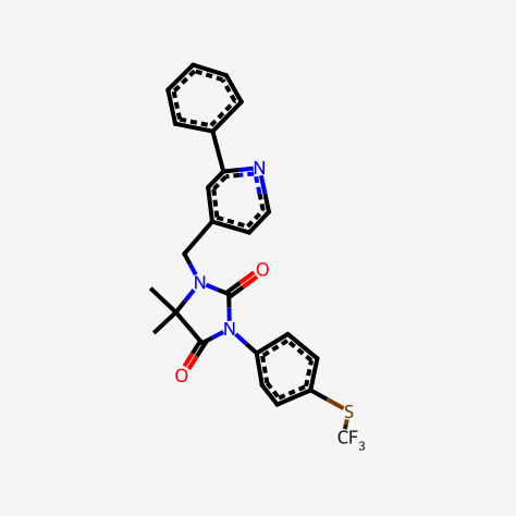 CC1(C)C(=O)N(c2ccc(SC(F)(F)F)cc2)C(=O)N1Cc1ccnc(-c2ccccc2)c1